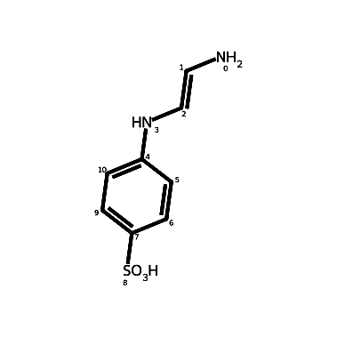 NC=CNc1ccc(S(=O)(=O)O)cc1